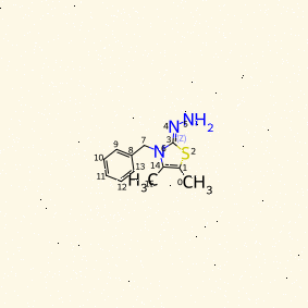 Cc1s/c(=N\N)n(Cc2ccccc2)c1C